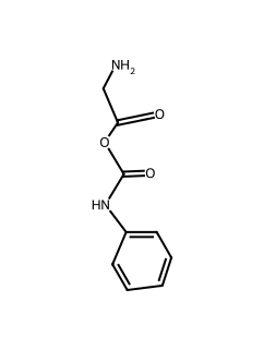 NCC(=O)OC(=O)Nc1ccccc1